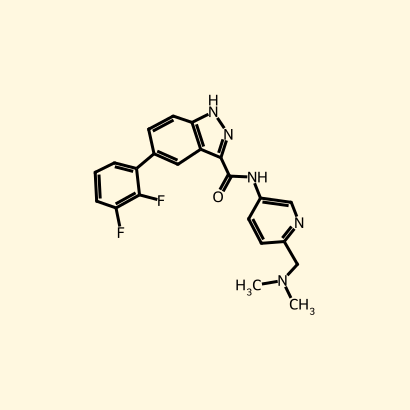 CN(C)Cc1ccc(NC(=O)c2n[nH]c3ccc(-c4cccc(F)c4F)cc23)cn1